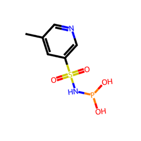 Cc1cncc(S(=O)(=O)NP(O)O)c1